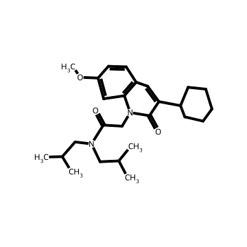 COc1ccc2cc(C3CCCCC3)c(=O)n(CC(=O)N(CC(C)C)CC(C)C)c2c1